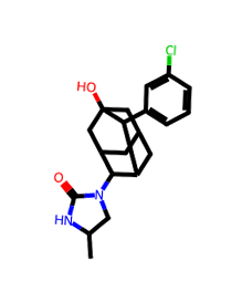 CC1CN(C2C3CC4CC2C(c2cccc(Cl)c2)C(O)(C4)C3)C(=O)N1